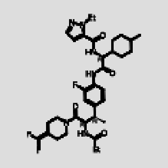 CCC(=O)N[C@@H](C(=O)N1CCC(=C(F)F)CC1)[C@@H](C)c1ccc(NC(=O)[C@@H](NC(=O)c2ccnn2CC)C2CCC(C)CC2)c(F)c1